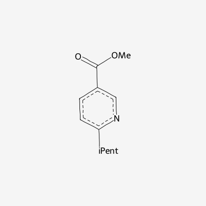 CCCC(C)c1ccc(C(=O)OC)cn1